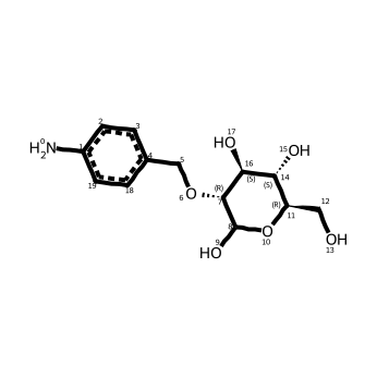 Nc1ccc(CO[C@H]2C(O)O[C@H](CO)[C@@H](O)[C@@H]2O)cc1